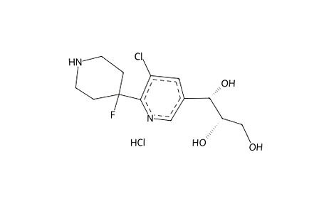 Cl.OC[C@H](O)[C@@H](O)c1cnc(C2(F)CCNCC2)c(Cl)c1